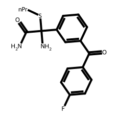 CCCSC(N)(C(N)=O)c1cccc(C(=O)c2ccc(F)cc2)c1